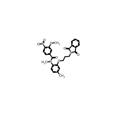 COc1cc(C(=O)N(C)c2ccc(C)cc2OCCCN2C(=O)c3ccccc3C2=O)ccc1[N+](=O)[O-]